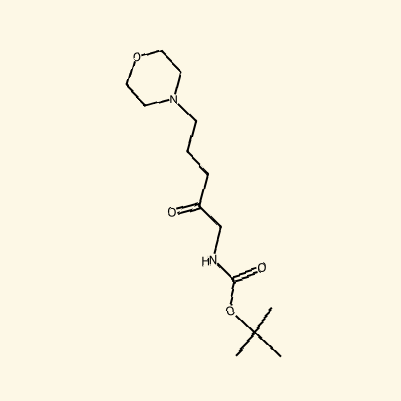 CC(C)(C)OC(=O)NCC(=O)CCCN1CCOCC1